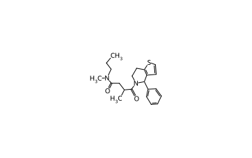 CCCN(C)C(=O)CC(C)C(=O)N1CCc2sccc2C1c1ccccc1